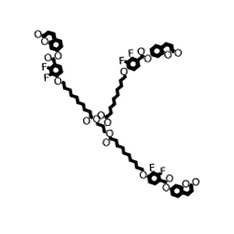 O=C(CCCCCCCCCOc1ccc(C(=O)Oc2ccc3ccc(=O)oc3c2)c(F)c1F)OCC(COC(=O)CCCCCCCCCOc1ccc(C(=O)Oc2ccc3ccc(=O)oc3c2)c(F)c1F)OC(=O)CCCCCCCCCOc1ccc(C(=O)Oc2ccc3ccc(=O)oc3c2)c(F)c1F